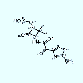 CC1(C)[C@H](NC(=O)C(=O)c2csc(N)n2)C(=O)N1OS(=O)(=O)O